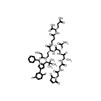 C[C@H](NC(=O)CNC(=O)CN1C(=O)C=CC1=O)C(=O)N[C@@H](CC(N)=O)C(=O)N[C@@H](CCN(C(=O)CO)[C@@H](c1cc(-c2cc(F)ccc2F)cn1Cc1ccccc1)C(C)(C)C)C(=O)NCCC(=O)N[C@H](CCC(=O)O)C(=O)O